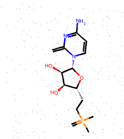 C=C1N=C(N)C=CN1[C@@H]1O[C@H](CCP(=C)(C)C)[C@@H](O)[C@H]1O